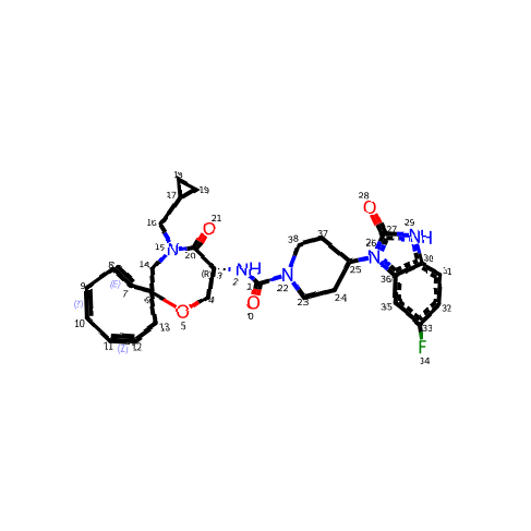 O=C(N[C@@H]1COC2(/C=C/C=C\C=C/C2)CN(CC2CC2)C1=O)N1CCC(n2c(=O)[nH]c3ccc(F)cc32)CC1